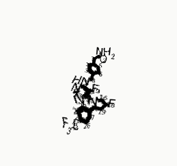 NC(=O)Cc1ccc(CNc2ncnc(N3CC(F)CC3c3ccc(C(F)(F)F)cc3)c2F)cc1